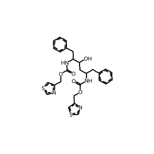 O=C(NC(Cc1ccccc1)CC(O)C(Cc1ccccc1)NC(=O)OCc1cscn1)OCc1cscn1